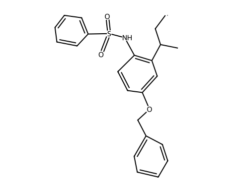 [CH2]CC(C)c1cc(OCc2ccccc2)ccc1NS(=O)(=O)c1ccccc1